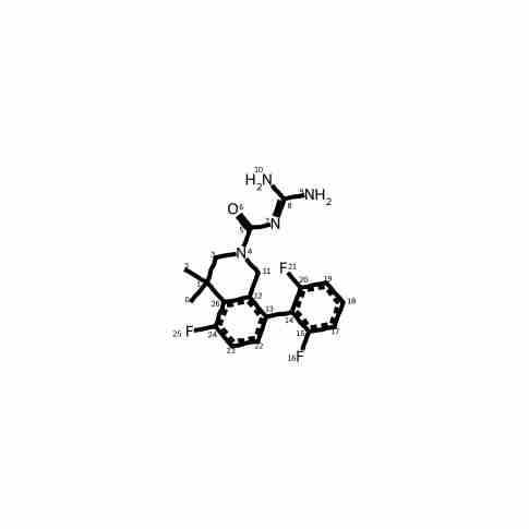 CC1(C)CN(C(=O)N=C(N)N)Cc2c(-c3c(F)cccc3F)ccc(F)c21